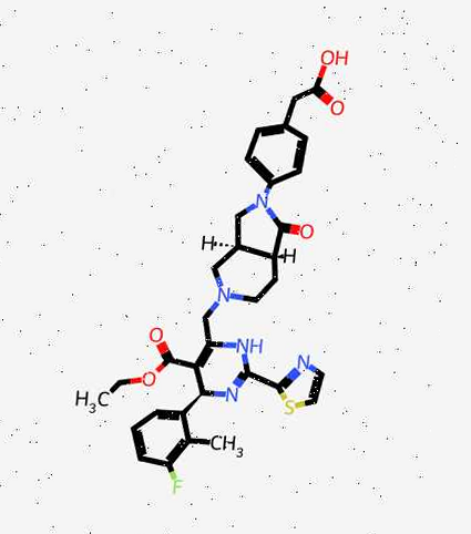 CCOC(=O)C1=C(CN2CC[C@@H]3C(=O)N(c4ccc(CC(=O)O)cc4)C[C@@H]3C2)NC(c2nccs2)=N[C@H]1c1cccc(F)c1C